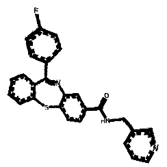 O=C(NCc1cccnc1)c1ccc2c(c1)N=C(c1ccc(F)cc1)c1ccccc1S2